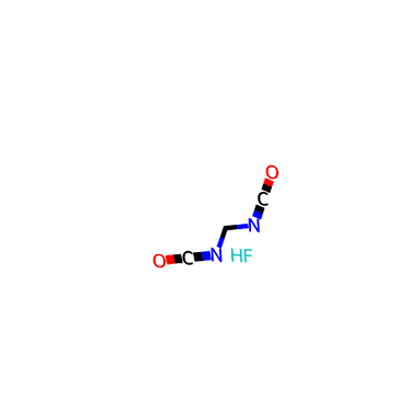 F.O=C=NCN=C=O